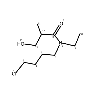 CCN(CCCCCl)C(=O)C(C)CO